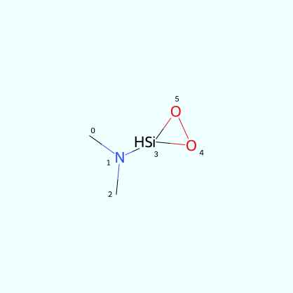 CN(C)[SiH]1OO1